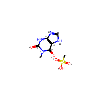 CS(=O)(=O)O.Cn1c(=O)[nH]c2nc[nH]c2c1=O